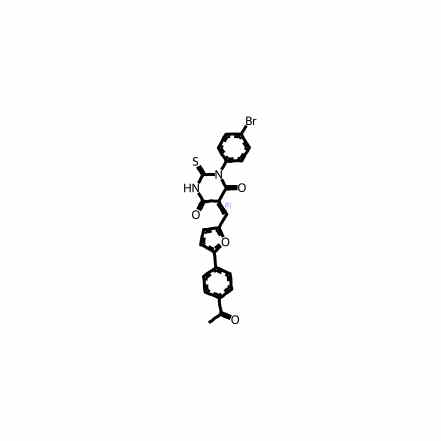 CC(=O)c1ccc(-c2ccc(/C=C3\C(=O)NC(=S)N(c4ccc(Br)cc4)C3=O)o2)cc1